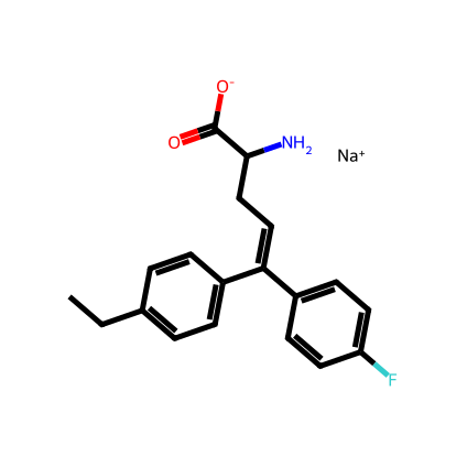 CCc1ccc(/C(=C\CC(N)C(=O)[O-])c2ccc(F)cc2)cc1.[Na+]